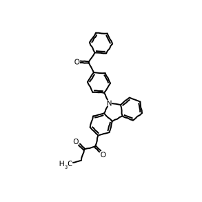 CCC(=O)C(=O)c1ccc2c(c1)c1ccccc1n2-c1ccc(C(=O)c2ccccc2)cc1